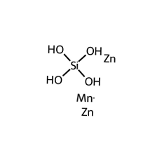 O[Si](O)(O)O.[Mn].[Zn].[Zn]